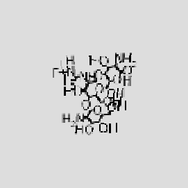 NC1C(OC2C(CO)OC(OC3C(CO)OC(O)C(N)C3O)C(NC(=S)NC(F)(I)I)C2O)OC(CO)C(O)C1O